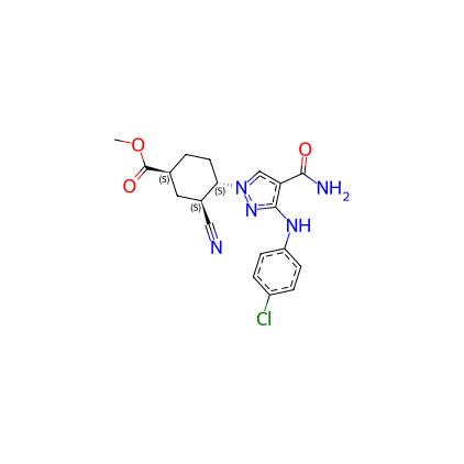 COC(=O)[C@H]1CC[C@H](n2cc(C(N)=O)c(Nc3ccc(Cl)cc3)n2)[C@@H](C#N)C1